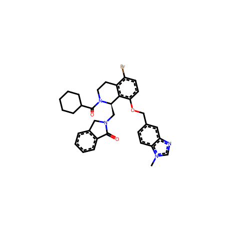 Cn1cnc2cc(COc3ccc(Br)c4c3[C@@H](CN3Cc5ccccc5C3=O)N(C(=O)C3CCCCC3)CC4)ccc21